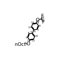 CCCCCCCCOc1ccc(-c2ccc(OC(F)F)cc2)cc1